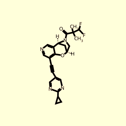 CC(C)(C(=O)N1C[C@@H]2C[C@H]1c1cncc(C#Cc3cnc(C4CC4)nc3)c1O2)C(F)F